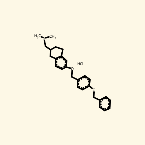 CN(C)CC1CCc2cc(OCc3ccc(OCc4ccccc4)cc3)ccc2C1.Cl